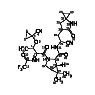 CC(OC1(C#N)CC1)C(NC(=O)C(F)(F)F)C(=O)N1CC2[C@H](C1C(=O)NC(C#N)CC1CC3(CC3)NC1=O)C2(C)C